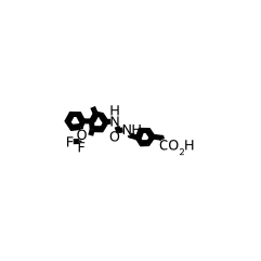 Cc1cc(NC(=O)NCc2ccc(CC(=O)O)cc2)cc(C)c1-c1ccccc1OC(F)F